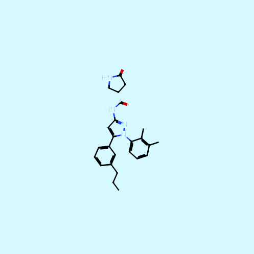 CCCc1cccc(-c2cc(NC(=O)[C@@H]3CNC(=O)C3)nn2-c2cccc(C)c2C)c1